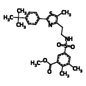 COC(=O)c1cc(S(=O)(=O)NCCc2nc(-c3ccc(C(C)(C)C)cc3)sc2C)cc(C)c1C